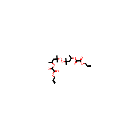 C=CCOC(=O)C(=O)OC(C)CC(C)(C)OOC(C)(C)CC(C)OC(=O)C(=O)OCC=C